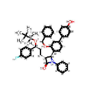 CC(C)(C)[Si](C)(C)O[C@@H](CC[C@H]1C(=O)N(c2ccccc2)[C@@H]1c1ccc(-c2ccc(O)cc2)cc1OCc1ccccc1)c1ccc(F)cc1